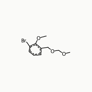 COCOCc1cccc(Br)c1OC